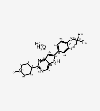 CN1CCC(c2ncc3[nH]c(-c4ccc(SC(F)(F)F)cc4)cc3n2)CC1.Cl.O